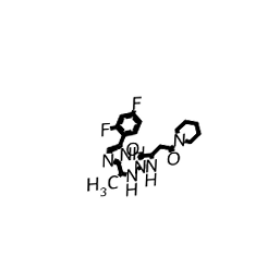 CC(NN1NC(CC(=O)N2CCCCC2)C1=O)c1ncc(-c2ccc(F)cc2F)[nH]1